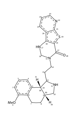 COc1cccc2c1CC[C@H]1CNC(CCN3CNc4c(sc5ncccc45)C3=O)[C@@H]21